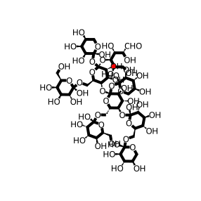 O=C[C@H](O)[C@@H](O)[C@H](O[C@@]1(O[C@@]2(O)OC[C@H](O)[C@H](O)[C@@H]2O)O[C@H](CO[C@@]2(O)O[C@H](CO)[C@H](O)[C@H](O)[C@H]2O)[C@@H](O[C@]2(O[C@@]3(O)OC[C@H](O)[C@@H](O)[C@@H]3O)O[C@@H](CO[C@]3(O)O[C@@H](CO)[C@@H](O)[C@H](O)[C@@H]3O)[C@H](O[C@@]3(O)O[C@H](CO[C@]4(O)OC[C@@H](O)[C@H](O)[C@H]4O)[C@@H](O)[C@H](O)[C@H]3O)[C@@H](O)[C@@H]2O)[C@H](O)[C@H]1O)[C@H](O)CO